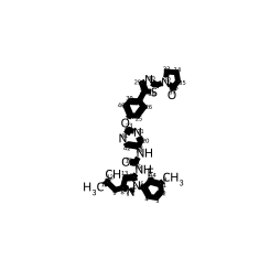 Cc1cccc(-n2nc(CC(C)C)cc2NC(=O)Nc2cnc(Oc3ccc(-c4cnc(N5CCCC5=O)s4)cc3)nc2)c1F